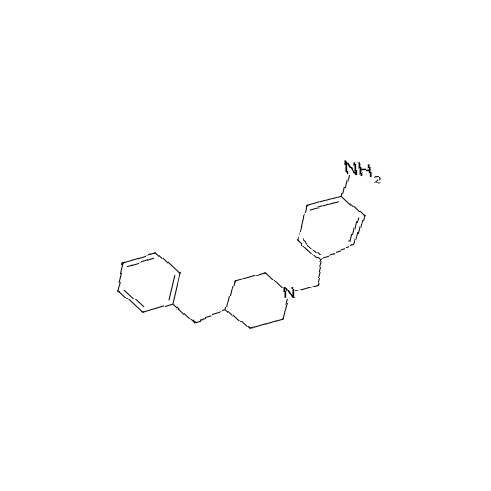 Nc1ccc(CN2CCC(Cc3ccccc3)CC2)cc1